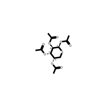 CC(=O)O[C@@H]1[C@@H](OC(C)=O)[C@@H](OC(C)=O)SC[C@@H]1OC(C)=O